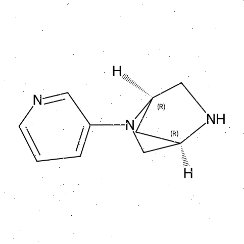 c1cncc(N2C[C@H]3C[C@@H]2CN3)c1